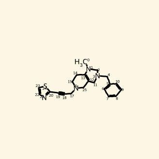 CN1CN(Cc2ccccc2)CC2=C1CCN(CC#Cc1nccs1)C2